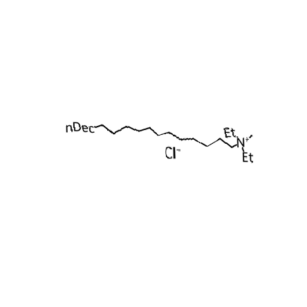 CCCCCCCCCCCCCCCCCCCCCC[N+](C)(CC)CC.[Cl-]